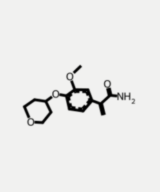 C=C(C(N)=O)c1ccc(OC2CCOCC2)c(OC)c1